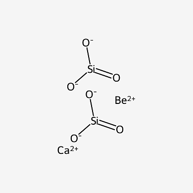 O=[Si]([O-])[O-].O=[Si]([O-])[O-].[Be+2].[Ca+2]